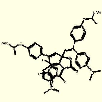 COC(C)Oc1ccc(/C(=C/C2(/C=C(/c3ccc(OC(C)OC)cc3)c3ccc(N(C)C)cc3)OC(=O)c3c(Cl)c(Cl)c(Cl)c(Cl)c32)c2ccc(N(C)C)cc2)cc1